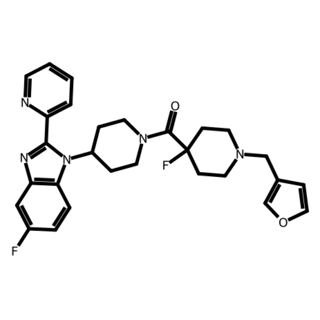 O=C(N1CCC(n2c(-c3ccccn3)nc3cc(F)ccc32)CC1)C1(F)CCN(Cc2ccoc2)CC1